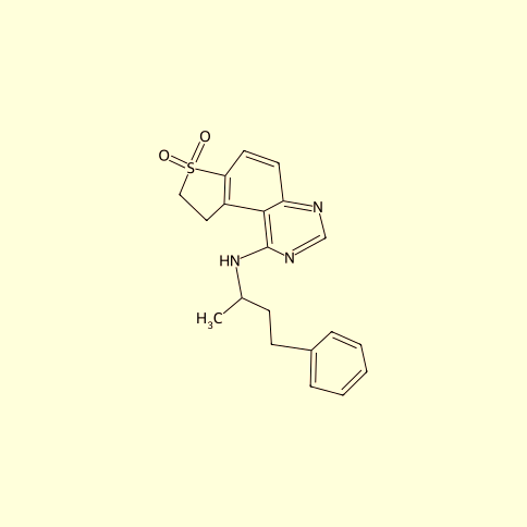 CC(CCc1ccccc1)Nc1ncnc2ccc3c(c12)CCS3(=O)=O